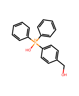 OCc1ccc([PH](O)(c2ccccc2)c2ccccc2)cc1